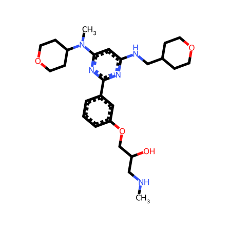 CNCC(O)COc1cccc(-c2nc(NCC3CCOCC3)cc(N(C)C3CCOCC3)n2)c1